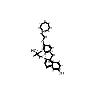 CC(C)(O)COc1ccc2cc(O)ccc2c1Cc1ccc(OCCN2CCCCCC2)cc1